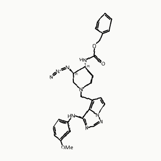 COc1cccc(Nc2ncnn3ccc(CN4CC[C@@H](NC(=O)OCc5ccccc5)[C@H](N=[N+]=[N-])C4)c23)c1